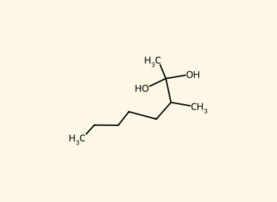 CCCCCC(C)C(C)(O)O